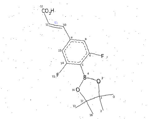 CC1(C)OB(c2c(F)cc(/C=C/C(=O)O)cc2F)OC1(C)C